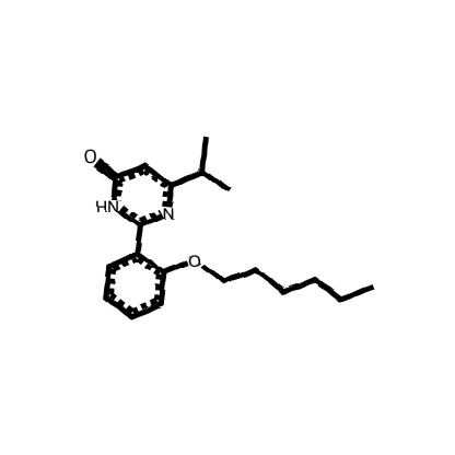 CCCCCCOc1ccccc1-c1nc(C(C)C)cc(=O)[nH]1